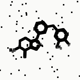 Cc1cc(Cc2ccnc(-n3ncc4c3CCN(C)C4=O)c2)cnc1F